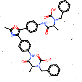 Cc1nc(-c2ccc(NC(=O)[C@H](C)N(Cc3ccccc3)C(=O)O)cc2)c(-c2ccc(NC(=O)[C@H](C)N(Cc3ccccc3)C(=O)O)cc2)o1